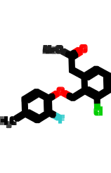 COC(=O)Cc1cccc(Cl)c1COc1ccc(C)cc1F